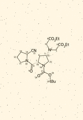 CCOC(=O)CN(CC(=O)OCC)[C@H]1C[C@@H](C(=O)N2CCCC2C#N)N(C(=O)OC(C)(C)C)C1